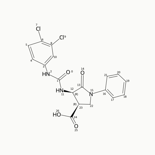 O=C(Nc1ccc(Cl)c(Cl)c1)N[C@H]1C(=O)N(c2ccccc2)C[C@H]1C(=O)O